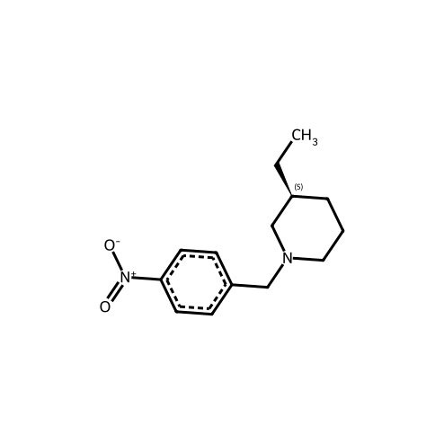 CC[C@H]1CCCN(Cc2ccc([N+](=O)[O-])cc2)C1